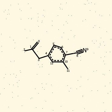 C=C(C)Cc1ccc(C#N)c(C)c1